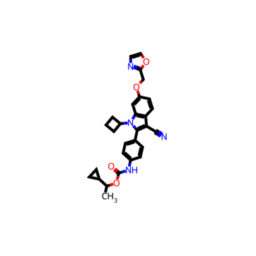 CC(OC(=O)Nc1ccc(-c2c(C#N)c3ccc(OCc4ncco4)cc3n2C2CCC2)cc1)C1CC1